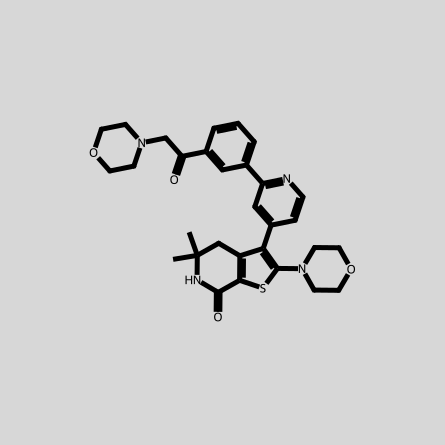 CC1(C)Cc2c(sc(N3CCOCC3)c2-c2ccnc(-c3cccc(C(=O)CN4CCOCC4)c3)c2)C(=O)N1